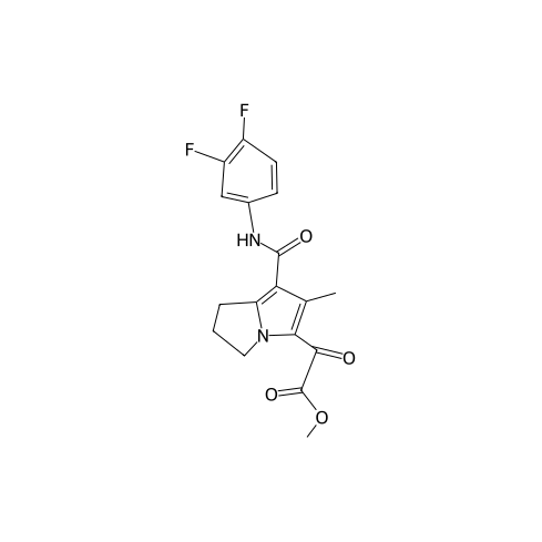 COC(=O)C(=O)c1c(C)c(C(=O)Nc2ccc(F)c(F)c2)c2n1CCC2